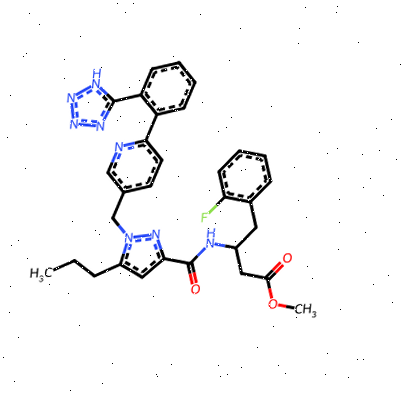 CCCc1cc(C(=O)NC(CC(=O)OC)Cc2ccccc2F)nn1Cc1ccc(-c2ccccc2-c2nnn[nH]2)nc1